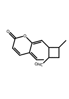 C/C=c1/ccc(=O)o/c1=C/C1C(C)CC1C=O